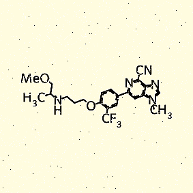 COC[C@H](C)NCCCOc1ccc(-c2cc3c(ncn3C)c(C#N)n2)cc1C(F)(F)F